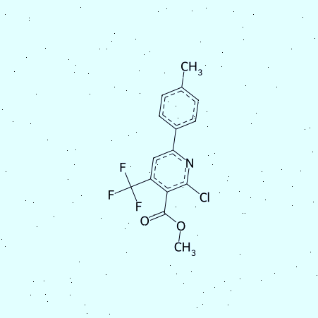 COC(=O)c1c(C(F)(F)F)cc(-c2ccc(C)cc2)nc1Cl